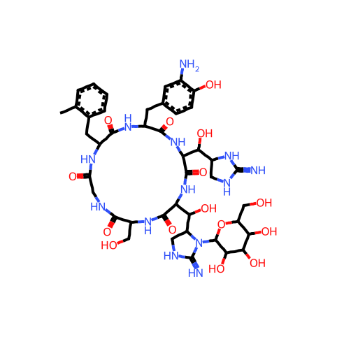 Cc1ccccc1CC1NC(=O)CNC(=O)C(CO)NC(=O)C(C(O)C2CNC(=N)N2C2OC(CO)C(O)C(O)C2O)NC(=O)C(C(O)C2CNC(=N)N2)NC(=O)C(Cc2ccc(O)c(N)c2)NC1=O